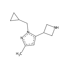 Cc1cc(C2CNC2)n(CC2CC2)n1